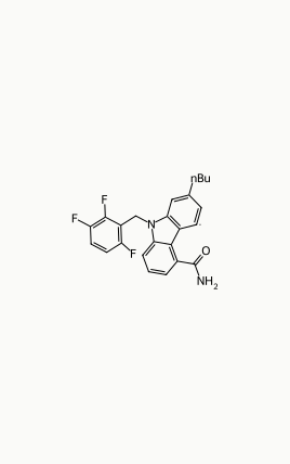 CCCCc1c[c]c2c3c(C(N)=O)cccc3n(Cc3c(F)ccc(F)c3F)c2c1